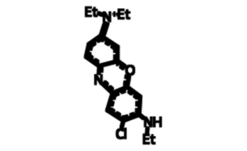 CCNc1cc2oc3cc(=[N+](CC)CC)ccc-3nc2cc1Cl